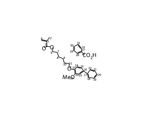 C=C(C)C(=O)OCCCCCCOc1ccc(-c2ccccc2)cc1OC.O=C(O)c1ccccc1